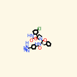 O=C1Nc2ccc(Cl)cc2C2(CCN(C(=O)[C@H](Cc3ccccc3)NC(=O)c3ccc(-c4nnn[nH]4)cc3)C2)O1